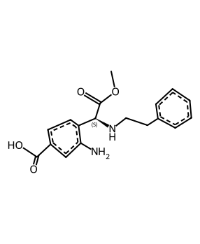 COC(=O)[C@@H](NCCc1ccccc1)c1ccc(C(=O)O)cc1N